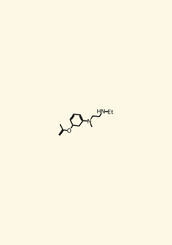 C=C(C)OC1C=CC=C(N(C)CCNCC)C1